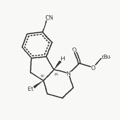 CC[C@]12CCCN(C(=O)OC(C)(C)C)[C@H]1c1cc(C#N)ccc1C2